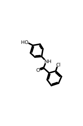 O=C(Nc1ccc(O)cc1)c1ccccc1Cl